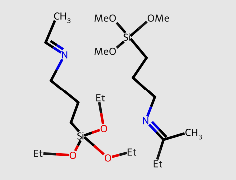 CC=NCCC[Si](OCC)(OCC)OCC.CCC(C)=NCCC[Si](OC)(OC)OC